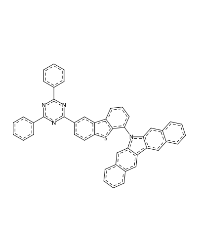 c1ccc(-c2nc(-c3ccccc3)nc(-c3ccc4sc5c(-n6c7cc8ccccc8cc7c7cc8ccccc8cc76)cccc5c4c3)n2)cc1